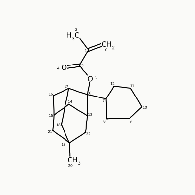 C=C(C)C(=O)OC1(C2CCCCC2)C2CC3CC1CC(C)(C3)C2